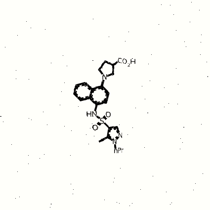 CCCn1ncc(S(=O)(=O)Nc2ccc(N3CCC(C(=O)O)C3)c3ccccc23)c1C